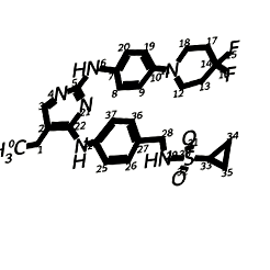 CCc1cnc(Nc2ccc(N3CCC(F)(F)CC3)cc2)nc1Nc1ccc(CNS(=O)(=O)C2CC2)cc1